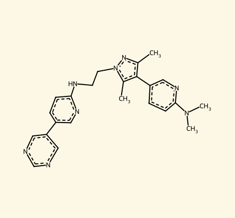 Cc1nn(CCNc2ccc(-c3cncnc3)cn2)c(C)c1-c1ccc(N(C)C)nc1